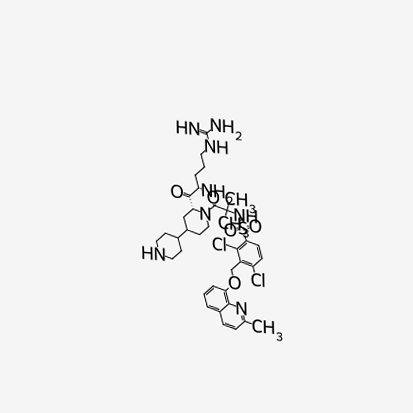 Cc1ccc2cccc(OCc3c(Cl)ccc(S(=O)(=O)NC(C)(C)C(=O)N4CCC(C5CCNCC5)C[C@@H]4C(=O)[C@@H](N)CCCNC(=N)N)c3Cl)c2n1